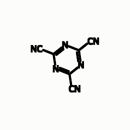 N#Cc1nc(C#N)nc(C#N)n1